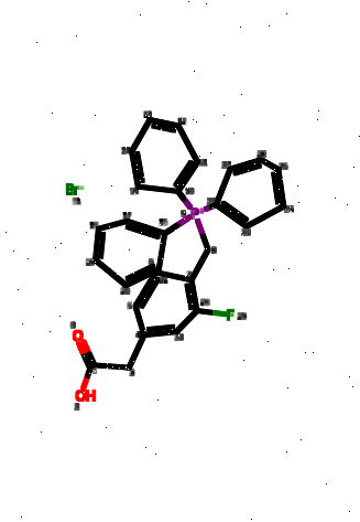 O=C(O)Cc1ccc(C[P+](c2ccccc2)(c2ccccc2)c2ccccc2)c(F)c1.[Br-]